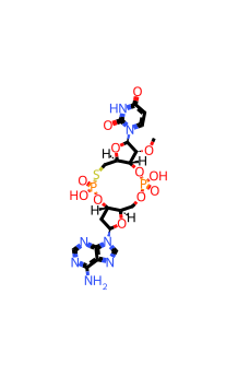 CO[C@@H]1[C@@H]2OP(=O)(O)OC[C@H]3O[C@@H](n4cnc5c(N)ncnc54)C[C@@H]3OP(=O)(O)SC[C@H]2O[C@H]1n1ccc(=O)[nH]c1=O